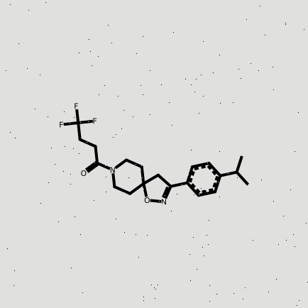 CC(C)c1ccc(C2=NOC3(CCN(C(=O)CCC(F)(F)F)CC3)C2)cc1